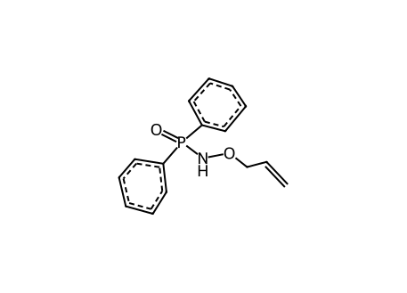 C=CCONP(=O)(c1ccccc1)c1ccccc1